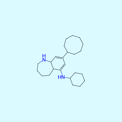 C1=C(C2CCCCCCC2)C=C(NC2CCCCC2)C2CCCCNC12